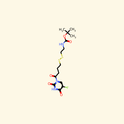 CC(C)(C)OC(=O)NCCSSCCCC(=O)n1cc(F)c(=O)[nH]c1=O